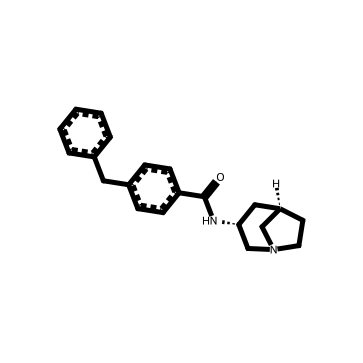 O=C(N[C@@H]1C[C@H]2CCN(C2)C1)c1ccc(Cc2ccccc2)cc1